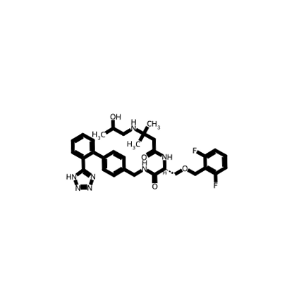 CC(O)CNC(C)(C)CC(=O)N[C@H](COCc1c(F)cccc1F)C(=O)NCc1ccc(-c2ccccc2-c2nnn[nH]2)cc1